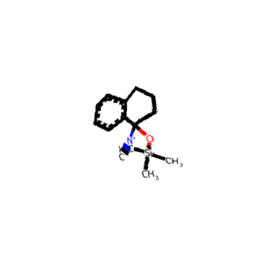 [C-]#[N+]C1(O[Si](C)(C)C)CCCc2ccccc21